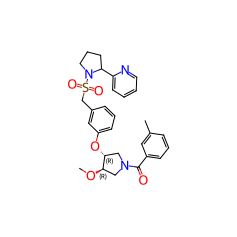 CO[C@@H]1CN(C(=O)c2cccc(C)c2)C[C@H]1Oc1cccc(CS(=O)(=O)N2CCCC2c2ccccn2)c1